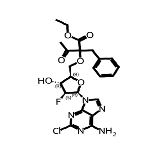 CCOC(=O)C(Cc1ccccc1)(OC[C@H]1O[C@@H](n2cnc3c(N)nc(Cl)nc32)[C@@H](F)[C@@H]1O)C(C)=O